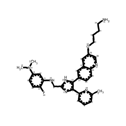 Cc1cccc(-c2nc(CNc3cc(N(C)C)ccc3F)[nH]c2-c2ccc3ncc(OCCCCN)cc3c2)n1